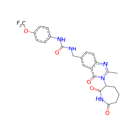 Cc1nc2ccc(CNC(=O)Nc3ccc(OC(F)(F)F)cc3)cc2c(=O)n1C1CCCC(=O)NC1=O